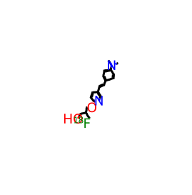 CN(C)c1ccc(/C=C/c2ccc(OCC(CO)C[18F])nc2)cc1